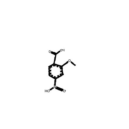 COc1cc([N+](=O)O)ccc1C(=O)O